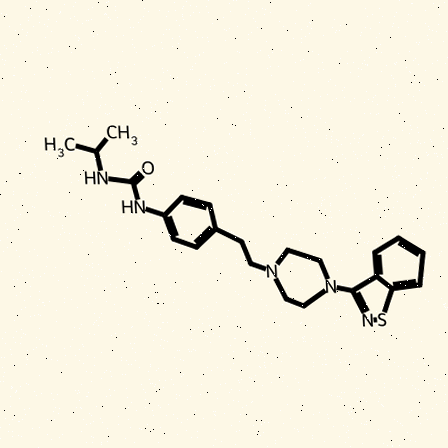 CC(C)NC(=O)Nc1ccc(CCN2CCN(c3nsc4ccccc34)CC2)cc1